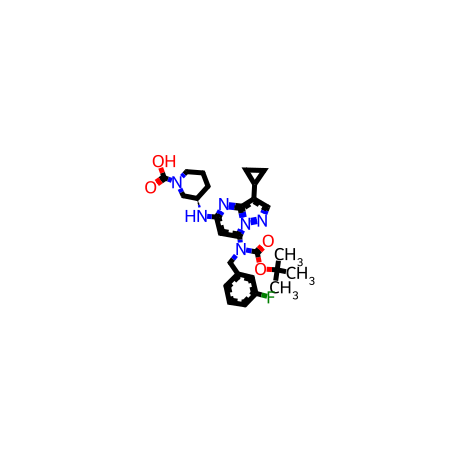 CC(C)(C)OC(=O)N(Cc1cccc(F)c1)c1cc(N[C@H]2CCCN(C(=O)O)C2)nc2c(C3CC3)cnn12